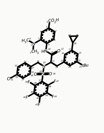 CN(C)c1cc(C(=O)O)ccc1NC(=O)C(Cc1cc(C2CC2)cc(C(C)(C)C)c1)N(Cc1ccc(Cl)cc1)S(=O)(=O)c1c(F)c(F)c(F)c(F)c1F